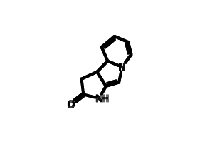 O=C1CC2C(=CN3C=CC=CC23)N1